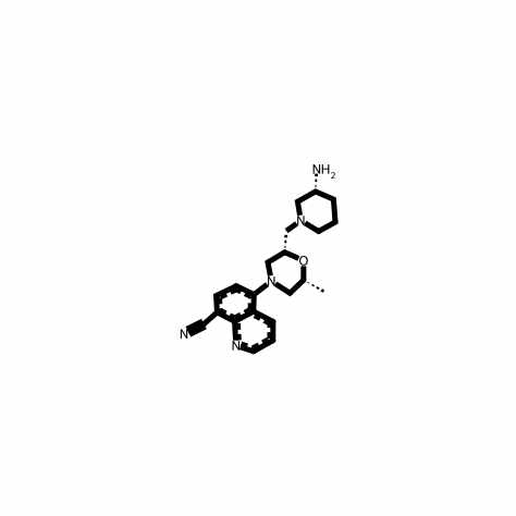 C[C@@H]1CN(c2ccc(C#N)c3ncccc23)C[C@H](CN2CCC[C@@H](N)C2)O1